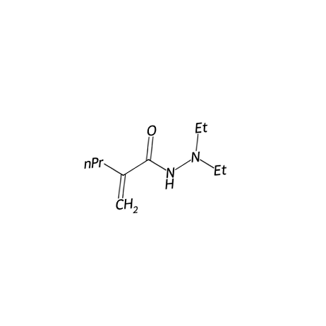 C=C(CCC)C(=O)NN(CC)CC